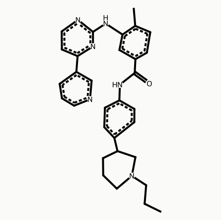 CCCN1CCCC(c2ccc(NC(=O)c3ccc(C)c(Nc4nccc(-c5cccnc5)n4)c3)cc2)C1